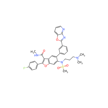 CNC(=O)c1c(-c2ccc(F)cc2)oc2cc(N(CCCN(C)C)S(C)(=O)=O)c(-c3cccc(-c4nc5ncccc5o4)c3)cc12